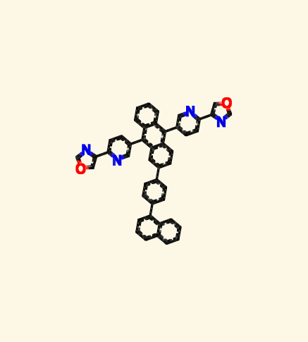 c1ccc2c(-c3ccc(-c4ccc5c(-c6ccc(-c7cocn7)nc6)c6ccccc6c(-c6ccc(-c7cocn7)nc6)c5c4)cc3)cccc2c1